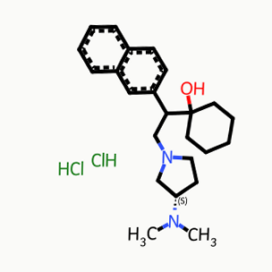 CN(C)[C@H]1CCN(CC(c2ccc3ccccc3c2)C2(O)CCCCC2)C1.Cl.Cl